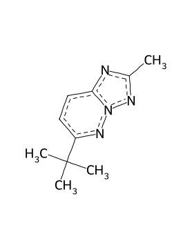 Cc1nc2ccc(C(C)(C)C)nn2n1